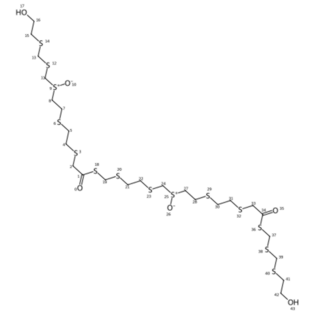 O=C(CSCCSCC[S+]([O-])CSCSCCO)SCSCCSC[S+]([O-])CCSCCSCC(=O)SCSCSCCO